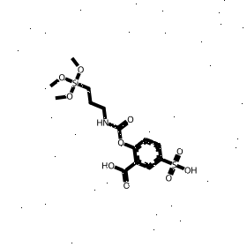 CO[Si](CCCNC(=O)Oc1ccc(S(=O)(=O)O)cc1C(=O)O)(OC)OC